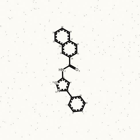 O=C(Nc1cc(-c2ccccc2)no1)c1ccc2ccccc2c1